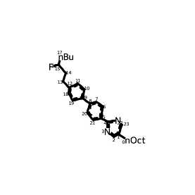 CCCCCCCCc1cnc(-c2ccc(-c3ccc(CCC(F)CCCC)cc3)cc2)nc1